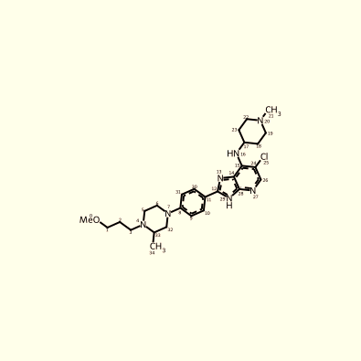 COCCCN1CCN(c2ccc(-c3nc4c(NC5CCN(C)CC5)c(Cl)cnc4[nH]3)cc2)CC1C